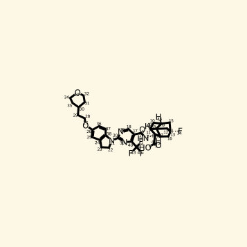 O=C(N[C@@]1(C(=O)O)[C@@H]2C[C@@H]3C[C@H]1C[C@@](F)(C3)C2)c1cnc(N2CCc3cc(OCCC4CCOCC4)ccc32)nc1C(F)(F)F